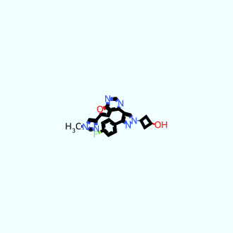 Cn1cnc(-c2cc3c(-c4cn([C@H]5C[C@H](O)C5)nc4-c4ccc(F)cc4)ncnc3o2)c1